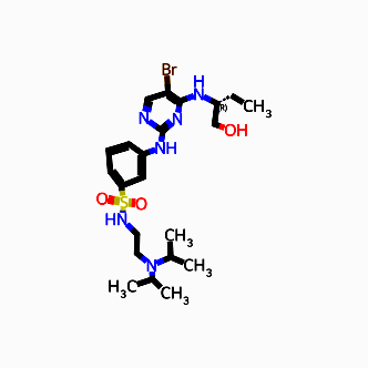 CC[C@H](CO)Nc1nc(Nc2cccc(S(=O)(=O)NCCN(C(C)C)C(C)C)c2)ncc1Br